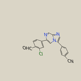 N#Cc1ccc(-c2cnc3cnc(-c4ccc(C=O)c(Cl)c4)cn23)cc1